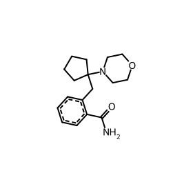 NC(=O)c1ccccc1CC1(N2CCOCC2)CCCC1